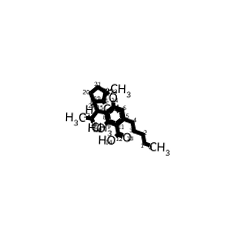 CCCCCc1cc2c(c(O)c1C(=O)O)C(C(C)C)[C@H]1CC[C@@](C)(O2)C1C